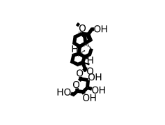 CO[C@]12CC[C@@H]3[C@@](C=C1CO)(CC[C@H]1[C@@]3(C)CCC[C@@]1(C)C(=O)OC1OC(CO)C(O)C(O)C1O)C2